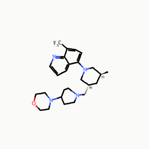 C[C@H]1C[C@H](CN2CCC(N3CCOCC3)CC2)CN(c2ccc(C(F)(F)F)c3ncccc23)C1